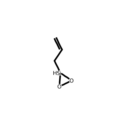 C=CC[SiH]1OO1